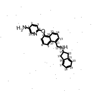 Nc1ccc(Oc2cccc3c(CNC4Cc5ccccc5C4)cccc23)nc1